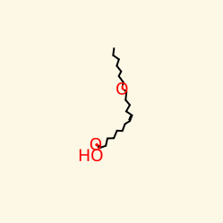 CCCCCCCOCCCC/C=C\CCCCCCC(=O)O